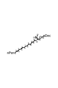 CCCCCC=CCC=CCCCCCCCCC[C@@H](COCCCCCCCCCCC)N(C)C